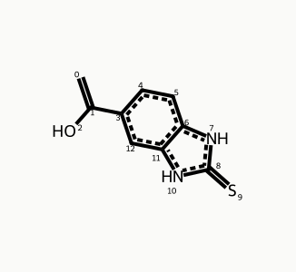 C=C(O)c1ccc2[nH]c(=S)[nH]c2c1